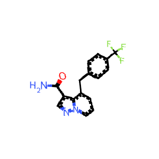 NC(=O)c1cnn2cccc(Cc3ccc(C(F)(F)F)cc3)c12